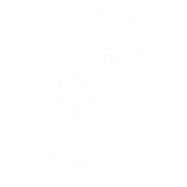 Cc1ncccc1OCC1CN(CCN2CCc3ccccc32)CCO1